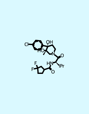 CC(C)[C@@H](NC(=O)C1CCC(F)(F)C1)C(=O)N1CC[C@](O)(c2ccc(Cl)cc2)[C@@](C)(O)C1